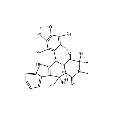 [2H]c1c([2H])c(C2c3[nH]c4ccccc4c3C([2H])([2H])[C@]3([2H])C(=O)N(C)C([2H])([2H])C(=O)N23)c([2H])c2c1OCO2